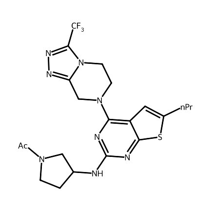 CCCc1cc2c(N3CCn4c(nnc4C(F)(F)F)C3)nc(NC3CCN(C(C)=O)C3)nc2s1